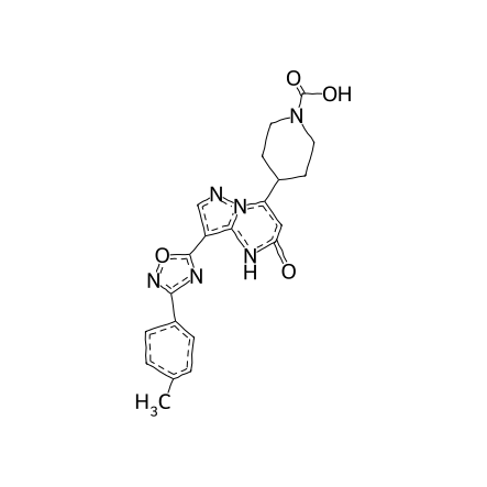 Cc1ccc(-c2noc(-c3cnn4c(C5CCN(C(=O)O)CC5)cc(=O)[nH]c34)n2)cc1